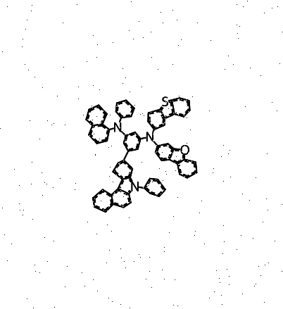 c1ccc(N(c2cc(-c3ccc4c5c6ccccc6ccc5n(-c5ccccc5)c4c3)cc(N(c3ccc4c(c3)oc3ccccc34)c3ccc4sc5ccccc5c4c3)c2)c2cccc3ccccc23)cc1